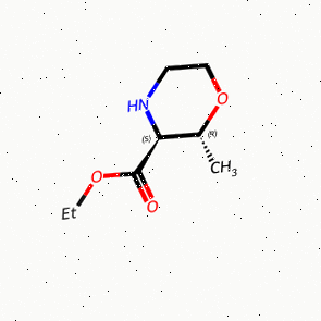 CCOC(=O)[C@H]1NCCO[C@@H]1C